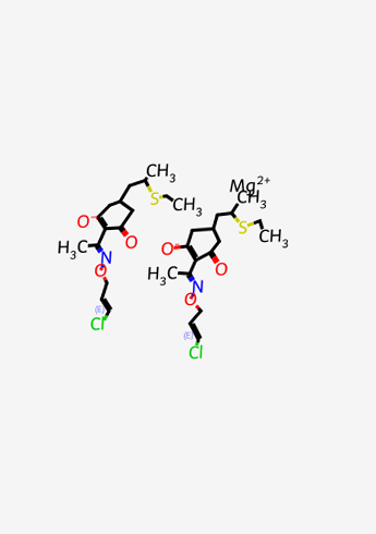 CCSC(C)CC1CC(=O)C(C(C)=NOC/C=C/Cl)=C([O-])C1.CCSC(C)CC1CC(=O)C(C(C)=NOC/C=C/Cl)=C([O-])C1.[Mg+2]